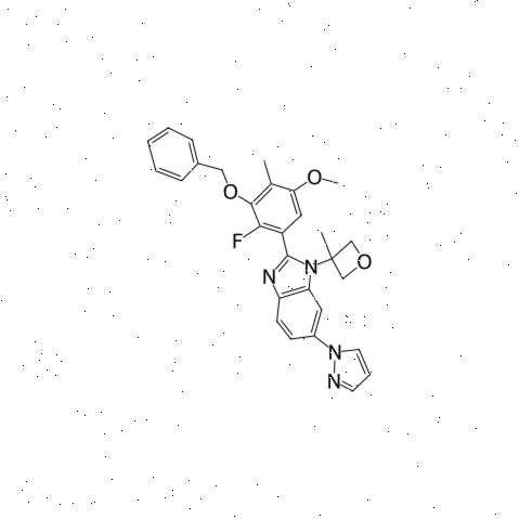 COc1cc(-c2nc3ccc(-n4cccn4)cc3n2C2(C)COC2)c(F)c(OCc2ccccc2)c1C